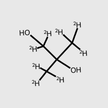 [2H]C([2H])([2H])C(O)(C([2H])([2H])[2H])C([2H])([2H])O